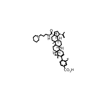 C=C(C)[C@@H]1CC[C@]2(C(=O)NCCCN3CCCCC3)CC[C@]3(C)[C@H](CC[C@@H]4[C@@]5(C)CC=C(c6ccc(C(=O)O)cc6F)C(C)(C)[C@@H]5CC[C@]43C)[C@@H]12